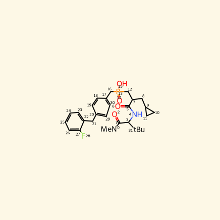 CNC(=O)C(NC(=O)C(CC1CC1)CP(=O)(O)Cc1ccc(Cc2ccccc2F)cc1)C(C)(C)C